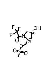 CS(=O)(=O)OC[C@@H]1C[C@@H](O)CN1C(=O)C(F)(F)F